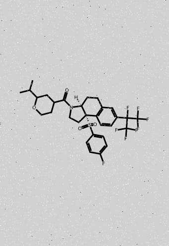 CC(C)C1CC(C(=O)N2CC[C@]3(S(=O)(=O)c4ccc(F)cc4)c4ccc(C(F)(C(F)(F)F)C(F)(F)F)cc4CC[C@H]23)CCO1